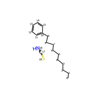 CCCCCCCCCCc1ccccc1.N=C=S